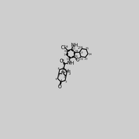 CN1C2CC(=O)CC1CC(C(=O)Nc1cc(Cl)c(N)c3c1OC1CCCCC31)C2